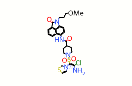 COCCCN1C(=O)c2cccc3c(NC(=O)C4CCN(S(=O)(=O)/C(=C(/N)Cl)N5C=CSC5)CC4)ccc1c23